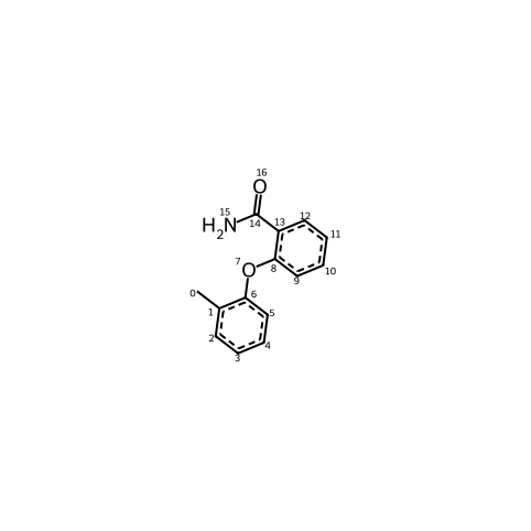 Cc1ccccc1Oc1ccccc1C(N)=O